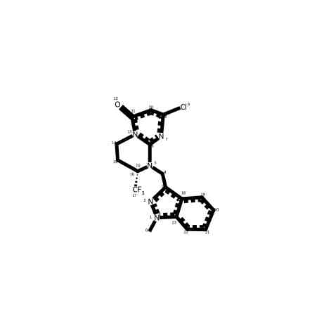 Cn1nc(CN2c3nc(Cl)cc(=O)n3CC[C@H]2C(F)(F)F)c2ccccc21